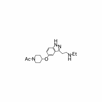 [CH2]CNCCc1n[nH]c2ccc(OC3CCN(C(C)=O)CC3)cc12